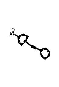 O=[As]c1ccc(C#Cc2ccccc2)cc1